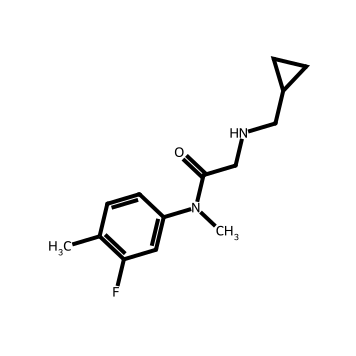 Cc1ccc(N(C)C(=O)CNCC2CC2)cc1F